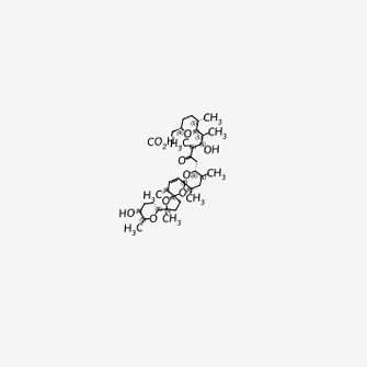 C[C@@H]([C@H](O)[C@H](C)C(=O)C[C@H]1O[C@]2(C=C[C@@H](C)[C@]3(CC[C@@](C)([C@H]4CC[C@@H](O)[C@H](C)O4)O3)O2)[C@H](C)C[C@@H]1C)[C@@H]1O[C@@H](CC(=O)O)CC[C@@H]1C